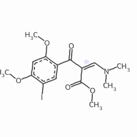 COC(=O)/C(=C\N(C)C)C(=O)c1cc(I)c(OC)cc1OC